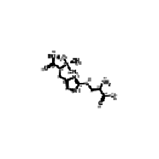 C[N+](C)(C)C(Cc1c[nH]c(SCC(N)C(=O)O)n1)C(=O)O